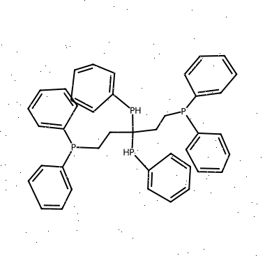 c1ccc(PC(CCP(c2ccccc2)c2ccccc2)(CCP(c2ccccc2)c2ccccc2)Pc2ccccc2)cc1